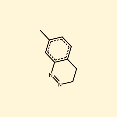 Cc1ccc2c(c1)N=NCC2